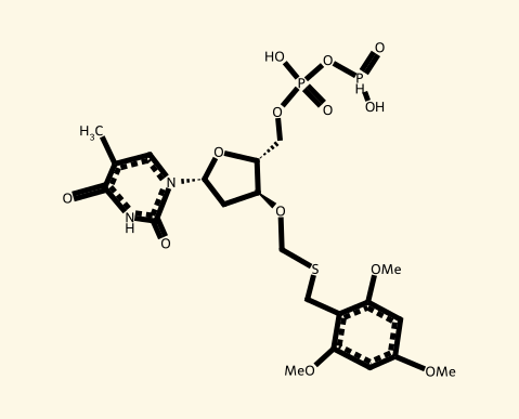 COc1cc(OC)c(CSCO[C@H]2C[C@H](n3cc(C)c(=O)[nH]c3=O)O[C@@H]2COP(=O)(O)O[PH](=O)O)c(OC)c1